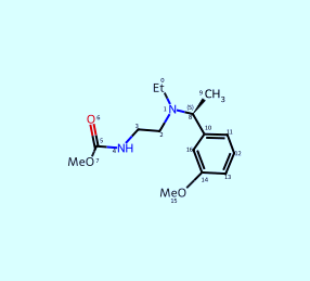 CCN(CCNC(=O)OC)[C@@H](C)c1cccc(OC)c1